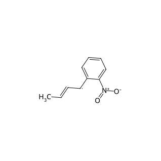 C/C=C/[CH]c1ccccc1[N+](=O)[O-]